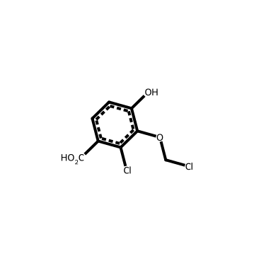 O=C(O)c1ccc(O)c(OCCl)c1Cl